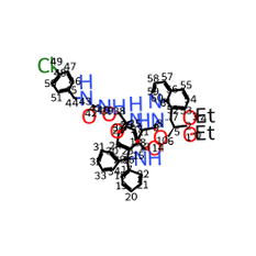 CCOC(OCC)[C@@H](C)[C@H](NC(=O)C(CC(=O)NC(c1ccccc1)(c1ccccc1)c1ccccc1)NC(=O)CONC(=O)NCc1ccc(Cl)cc1)c1cccc2cccnc12